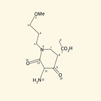 CC(=O)O.COCCCN1CCC(=O)C(N)C1=O